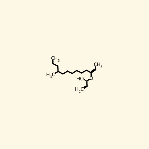 C=C[C@@H](O)O/C(=C/C)CCCCCCC(C)CCC